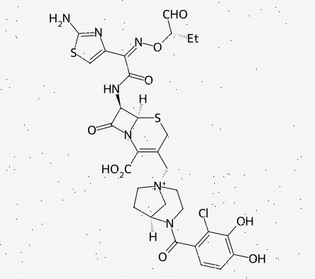 CC[C@@H](C=O)O/N=C(\C(=O)N[C@@H]1C(=O)N2C(C(=O)O)=C(C[N@@+]34CC[C@@H](C3)N(C(=O)c3ccc(O)c(O)c3Cl)CC4)CS[C@H]12)c1csc(N)n1